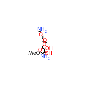 COC1OC(COC(C)(C)OCCOCCN)C(O)C(O)C1N